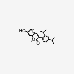 COc1cc(O)ccc1/C=C(\C=O)c1ccc(C(C)C)cc1C(C)C